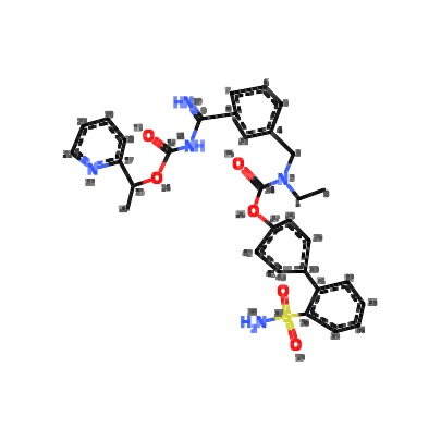 CCN(Cc1cccc(C(=N)NC(=O)OC(C)c2ccccn2)c1)C(=O)Oc1ccc(-c2ccccc2S(N)(=O)=O)cc1